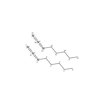 CCCCCN=[N+]=[N-].CCCCCN=[N+]=[N-]